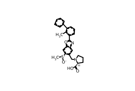 Cc1c(-c2ccccc2)cccc1-c1nc2cc(CN3CCC[C@H]3C(=O)O)c([S+](C)[O-])cc2o1